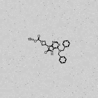 CC(C)(C)OC(=O)N1CC(n2c(=O)[nH]c3c(N(Cc4ccccc4)Cc4ccccc4)ncnc32)C1